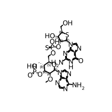 CO[C@@H]1[C@H](O[PH](=O)O)[C@H](C)[C@@H](COP(O)(=S)O[C@@H]2[C@H](O)[C@@H](CO)S[C@H]2n2cnc3c(=O)[nH]c(N)nc32)O[C@H]1n1cnc2c(N)ncnc21